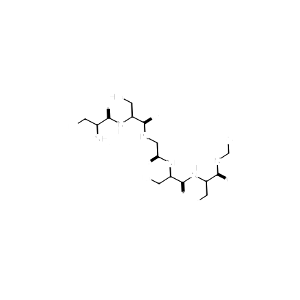 CC(=O)CNC(=O)C(CO)NC(=O)C(CO)NC(=O)CNC(=O)C(CO)NC(=O)C(N)CO